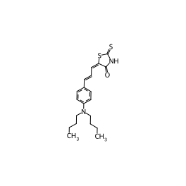 CCCCN(CCCC)c1ccc(C=CC=C2SC(=S)NC2=O)cc1